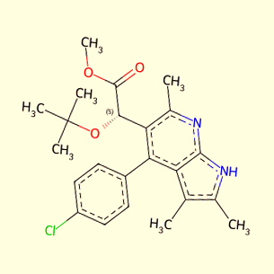 COC(=O)[C@@H](OC(C)(C)C)c1c(C)nc2[nH]c(C)c(C)c2c1-c1ccc(Cl)cc1